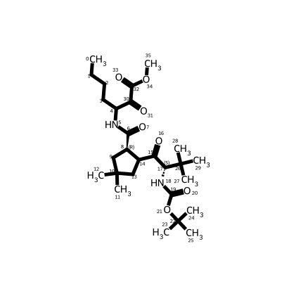 CCCCC(NC(=O)[C@@H]1CC(C)(C)CC1C(=O)[C@@H](NC(=O)OC(C)(C)C)C(C)(C)C)C(=O)C(=O)OC